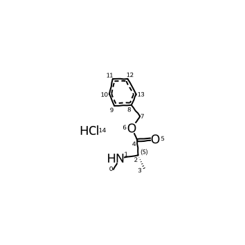 CN[C@@H](C)C(=O)OCc1ccccc1.Cl